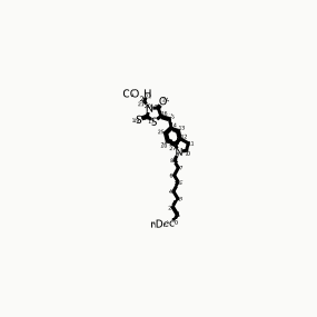 CCCCCCCCCCCCCCCCCCN1CCc2cc(/C=C3\SC(=S)N(CC(=O)O)C3=O)ccc21